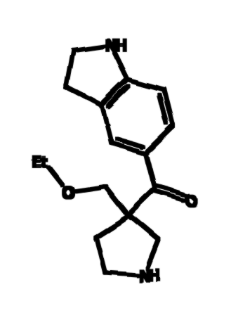 CCOCC1(C(=O)c2ccc3c(c2)CCN3)CCNC1